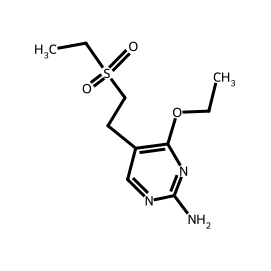 CCOc1nc(N)ncc1CCS(=O)(=O)CC